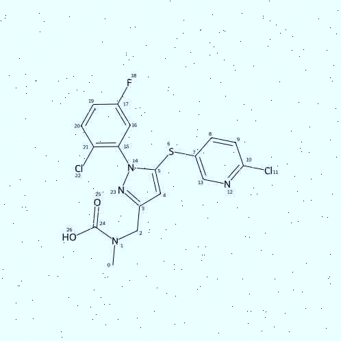 CN(Cc1cc(Sc2ccc(Cl)nc2)n(-c2cc(F)ccc2Cl)n1)C(=O)O